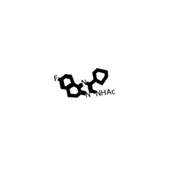 CC(=O)Nc1nc2c(nc1C1CCCCC1)-c1ccc(F)cc1CC2